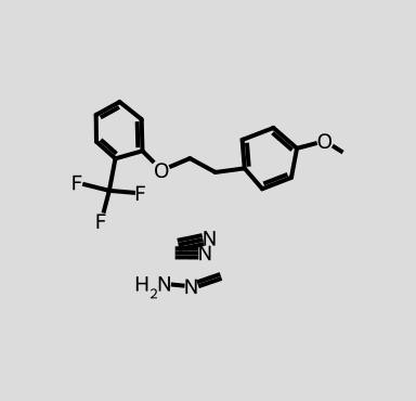 C#N.C#N.C=NN.COc1ccc(CCOc2ccccc2C(F)(F)F)cc1